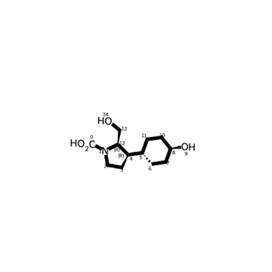 O=C(O)N1CC[C@H]([C@H]2CC[C@H](O)CC2)[C@@H]1CO